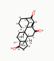 C[C@]12CC[C@H]3[C@@H](CC(=O)C4=CC(=O)C5CCC[C@]43C5)[C@@H]1CCC2=O